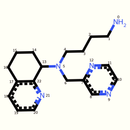 NCCCCN(Cc1cnccn1)C1CCCc2cccnc21